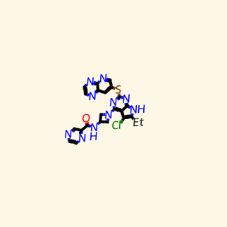 CCc1[nH]c2nc(Sc3cnc4nccnc4c3)nc(N3CC(NC(=O)c4cnccn4)C3)c2c1Cl